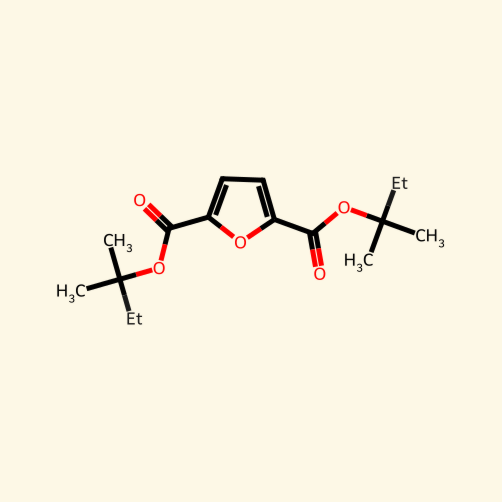 CCC(C)(C)OC(=O)c1ccc(C(=O)OC(C)(C)CC)o1